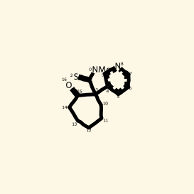 CNC(=S)C1(c2cccnc2)CCCCCC1=O